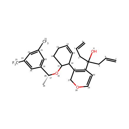 C=CCC(O)(CC=C)C1=C(C2C=CCCC2O[C@H](C)c2cc(C(F)(F)F)cc(C(F)(F)F)c2)COC=C1